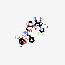 CC(C(C#N)C(=O)N1CCO[C@H](CC(=O)N[C@@H](Cc2ccccc2)B2O[C@@H]3C[C@@H]4C[C@@H](C4(C)C)[C@]3(C)O2)C1)C(C)(C)N1CCC(F)(F)C1